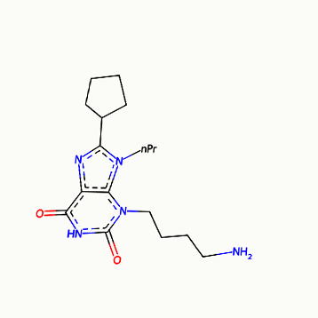 CCCn1c(C2CCCC2)nc2c(=O)[nH]c(=O)n(CCCCN)c21